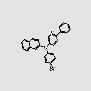 Brc1ccc(N(c2ccc(-c3ccccc3)nc2)c2ccc3ccccc3c2)cc1